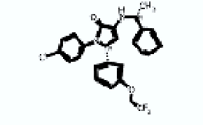 C[C@@H](NC1=C[C@H](c2cccc(OCC(F)(F)F)c2)N(c2ccc(Cl)cc2)C1=O)c1ccccc1